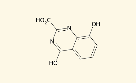 O=C(O)c1nc(O)c2cccc(O)c2n1